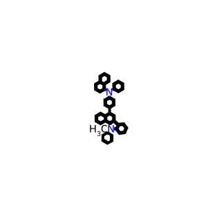 CC1(n2c3ccccc3c3cc(-c4ccc(N(c5ccccc5)c5cccc6ccccc56)cc4)c4ccccc4c32)C=CC=CC1